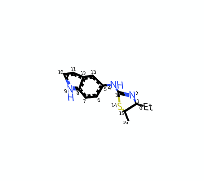 CCC1N=C(Nc2ccc3[nH]ccc3c2)SC1C